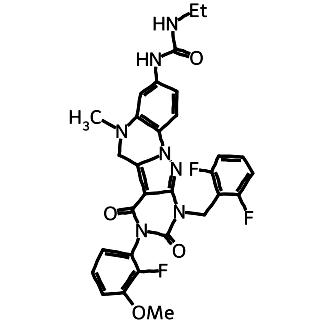 CCNC(=O)Nc1ccc2c(c1)N(C)Cc1c3c(=O)n(-c4cccc(OC)c4F)c(=O)n(Cc4c(F)cccc4F)c3nn1-2